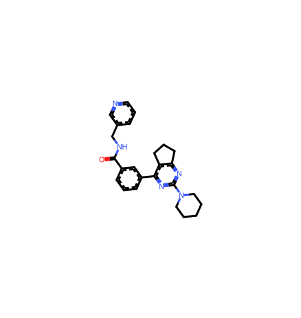 O=C(NCc1cccnc1)c1cccc(-c2nc(N3CCCCC3)nc3c2CCC3)c1